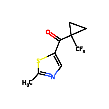 Cc1ncc(C(=O)C2(C(F)(F)F)CC2)s1